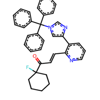 O=C(/C=C/c1ncccc1-c1cn(C(c2ccccc2)(c2ccccc2)c2ccccc2)cn1)C1(F)CCCCC1